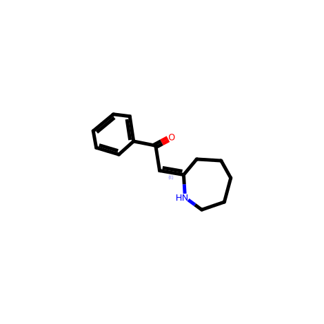 O=C(/C=C1\CCCCCN1)c1ccccc1